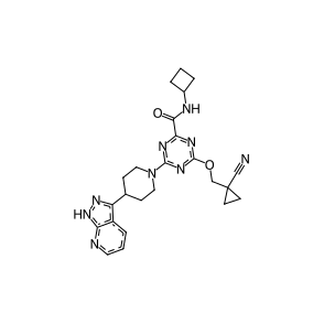 N#CC1(COc2nc(C(=O)NC3CCC3)nc(N3CCC(c4n[nH]c5ncccc45)CC3)n2)CC1